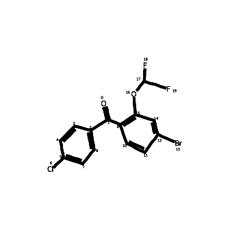 O=C(c1ccc(Cl)cc1)c1ccc(Br)cc1OC(F)F